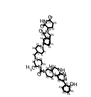 CC1CN(CC2CCN(c3ccc4c(c3)C(=O)N(C3CCC(=O)NC3=O)C4)CC2)CCN1C(=O)N1CCN2c3cc(-c4ccccc4O)nnc3NC[C@H]2C1